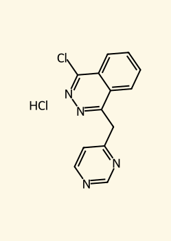 Cl.Clc1nnc(Cc2ccncn2)c2ccccc12